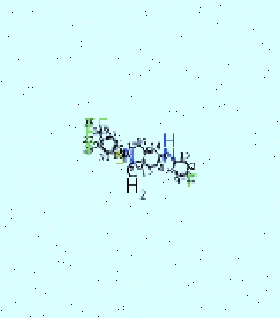 C=CC12CC=C(Nc3ccc(F)cc3)C=C1CCN(Sc1ccc(C(F)(F)F)c(F)c1)C2